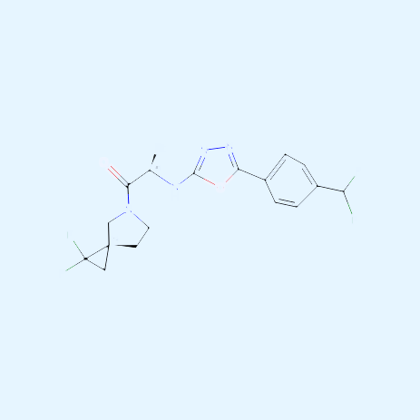 CC[C@@H](Nc1nnc(-c2ccc(C(F)F)cc2)o1)C(=O)N1CC[C@@]2(C1)CC2(F)F